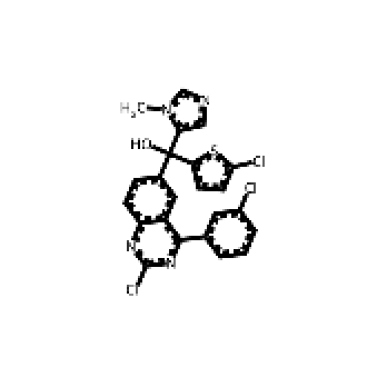 Cn1cncc1C(O)(c1ccc2nc(Cl)nc(-c3cccc(Cl)c3)c2c1)c1ccc(Cl)s1